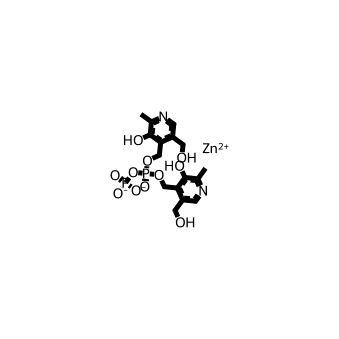 Cc1ncc(CO)c(COP(=O)(OCc2c(CO)cnc(C)c2O)OP(=O)([O-])[O-])c1O.[Zn+2]